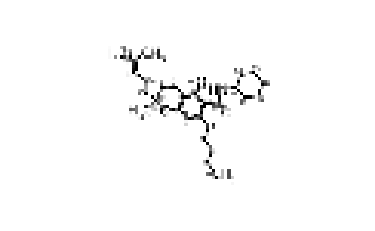 CCCCCc1cc2c(c(O)c1C(=O)NC1CCCCC1)C=CC(C)(CCC=C(C)C)O2